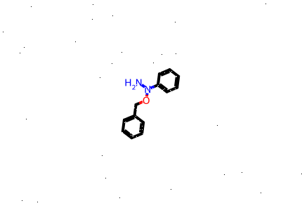 NN(OCc1ccccc1)c1ccccc1